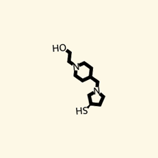 OCCN1CCC(CN2CC[C@@H](S)C2)CC1